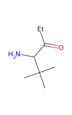 CCC(=O)C(N)C(C)(C)C